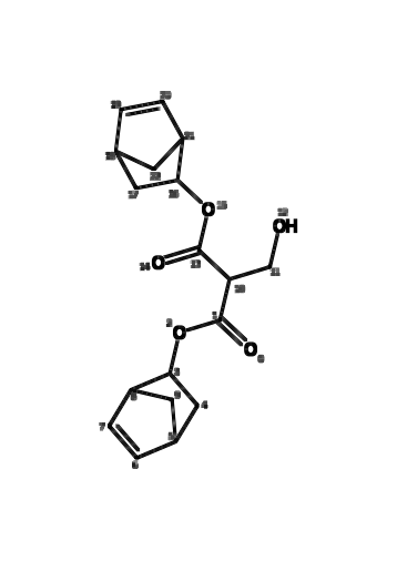 O=C(OC1CC2C=CC1C2)C(CO)C(=O)OC1CC2C=CC1C2